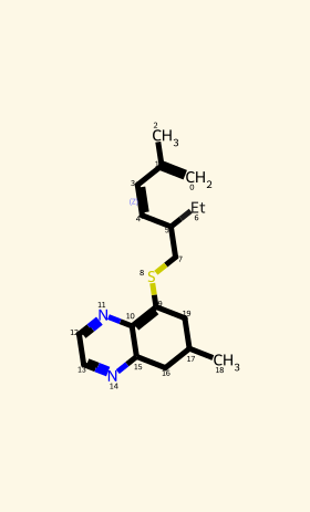 C=C(C)/C=C\C(CC)CSC1=C2N=CC=NC2CC(C)C1